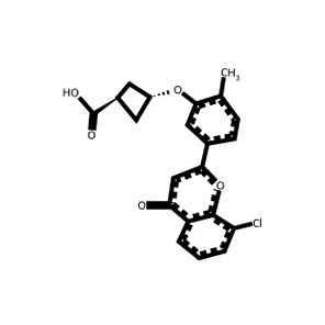 Cc1ccc(-c2cc(=O)c3cccc(Cl)c3o2)cc1O[C@H]1C[C@H](C(=O)O)C1